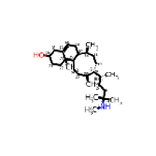 CNC(C)(C)CC[C@@H](C)[C@H]1CCC(C)C2CC=C3CC(O)CCC3(C)C2CCC1C